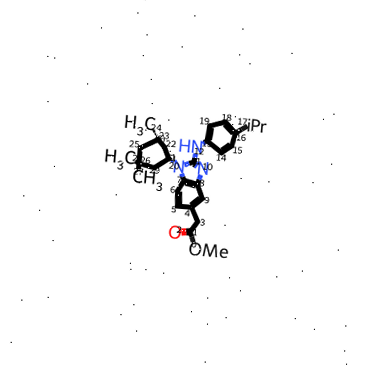 COC(=O)Cc1ccc2c(c1)nc(Nc1ccc(C(C)C)cc1)n2[C@H]1C[C@@H](C)CC(C)(C)C1